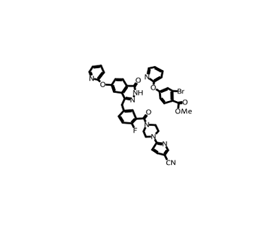 COC(=O)c1ccc(Oc2ccccn2)cc1Br.N#Cc1ccc(N2CCN(C(=O)c3cc(Cc4n[nH]c(=O)c5ccc(Oc6ccccn6)cc45)ccc3F)CC2)nc1